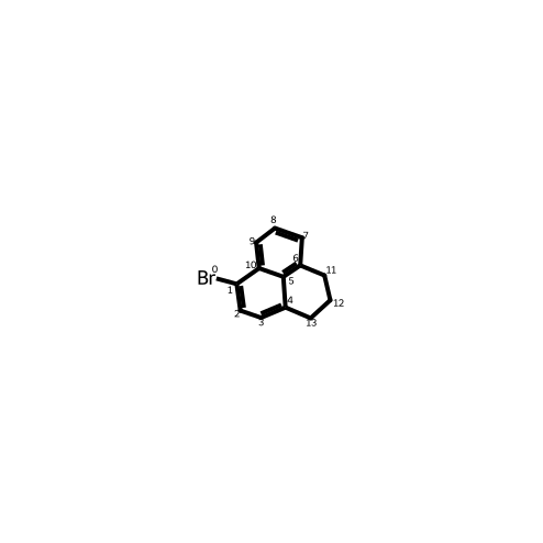 Brc1ccc2c3c(cccc13)CCC2